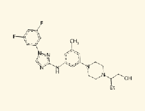 CCC(CO)N1CCN(c2cc(C)cc(Nc3ncn(-c4cc(F)cc(F)c4)n3)c2)CC1